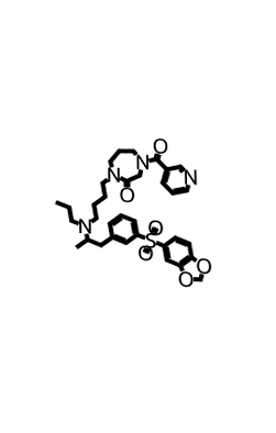 CCCN(CCCCN1CCCN(C(=O)c2cccnc2)CC1=O)C(C)Cc1cccc(S(=O)(=O)c2ccc3c(c2)OCO3)c1